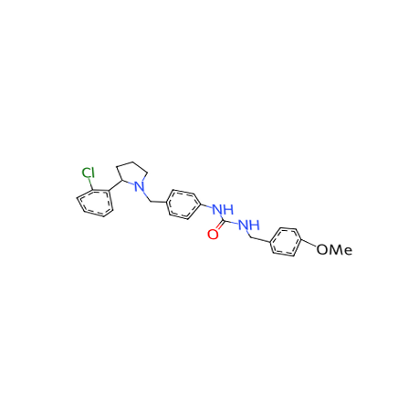 COc1ccc(CNC(=O)Nc2ccc(CN3CCCC3c3ccccc3Cl)cc2)cc1